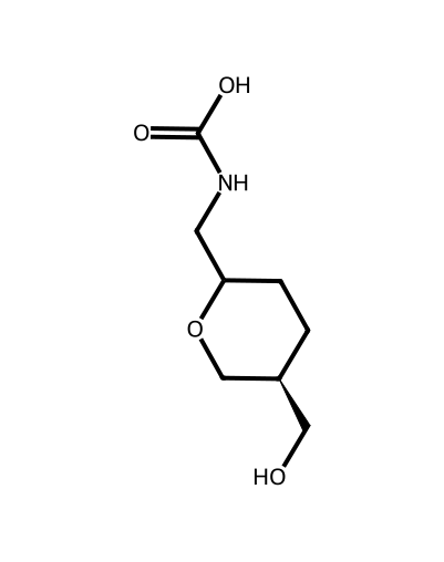 O=C(O)NCC1CC[C@@H](CO)CO1